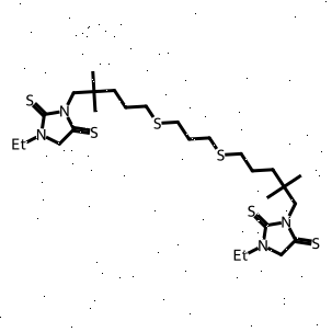 CCN1CC(=S)N(CC(C)(C)CCCSCCCSCCCC(C)(C)CN2C(=S)CN(CC)C2=S)C1=S